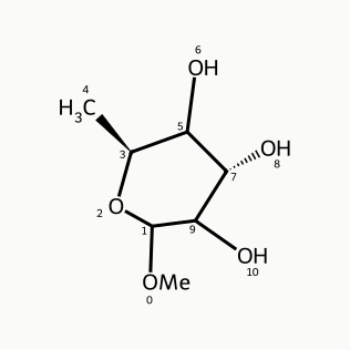 COC1O[C@@H](C)C(O)[C@H](O)C1O